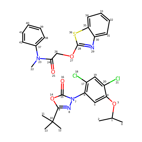 CC(C)Oc1cc(-n2nc(C(C)(C)C)oc2=O)c(Cl)cc1Cl.CN(C(=O)COc1nc2ccccc2s1)c1ccccc1